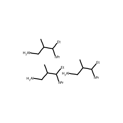 CCCC(CC)C(C)[CH2][AlH2].CCCC(CC)C(C)[CH2][AlH2].CCCC(CC)C(C)[CH2][AlH2]